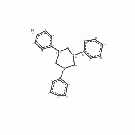 [H+].c1ccc(N2CN(c3ccccc3)CN(c3ccccc3)C2)cc1